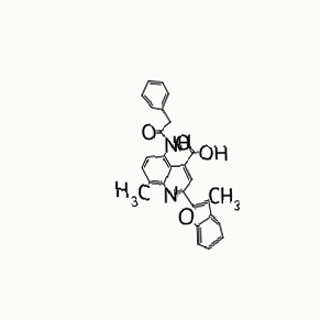 Cc1c(-c2cc(C(=O)O)c3c(NC(=O)Cc4ccccc4)ccc(C)c3n2)oc2ccccc12